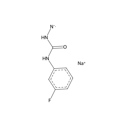 [N-]NC(=O)Nc1cccc(F)c1.[Na+]